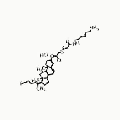 CC(C)CCCC(C)C1CCC2C3CC=C4CC(OC(=O)CSSCC(=O)NCCCCCCN)CCC4(C)C3CCC12C.Cl